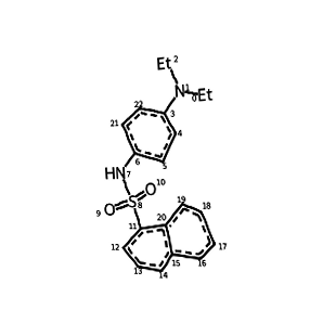 CCN(CC)c1ccc(NS(=O)(=O)c2cccc3ccccc23)cc1